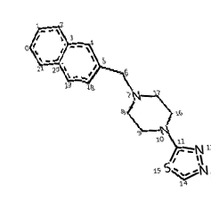 c1ccc2cc(CN3CCN(c4nncs4)CC3)ccc2c1